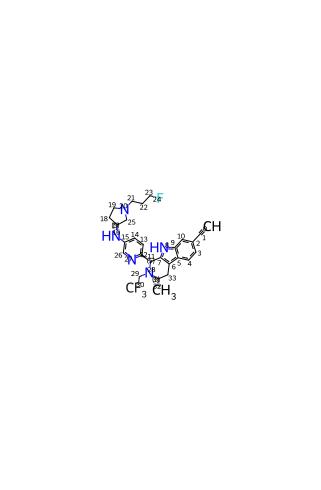 C#Cc1ccc2c3c([nH]c2c1)[C@H](c1ccc(N[C@H]2CCN(CCCF)C2)cn1)N(CC(F)(F)F)[C@@H](C)C3